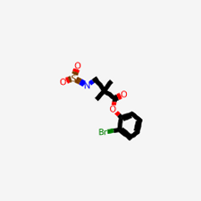 CC(C)(CN=S(=O)=O)C(=O)Oc1ccccc1Br